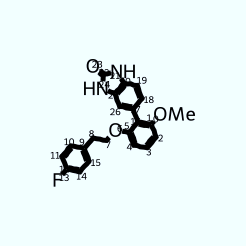 COc1cccc(OCCc2ccc(F)cc2)c1-c1ccc2[nH]c(=O)[nH]c2c1